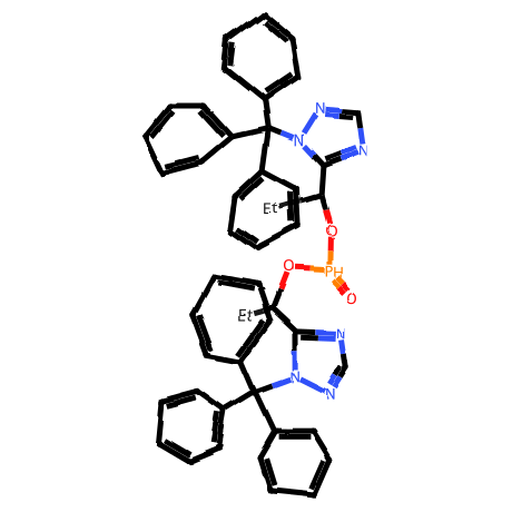 CCC(O[PH](=O)OC(CC)c1ncnn1C(c1ccccc1)(c1ccccc1)c1ccccc1)c1ncnn1C(c1ccccc1)(c1ccccc1)c1ccccc1